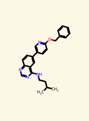 CC(C)CCNc1ncnc2ccc(-c3ccc(OCc4ccccc4)nc3)cc12